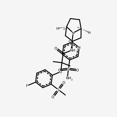 CC(C)(Oc1ccc(F)cc1S(C)(=O)=O)C(=O)N[C@H]1C[C@H]2CC[C@@H](C1)N2c1ccc(S(N)(=O)=O)cn1